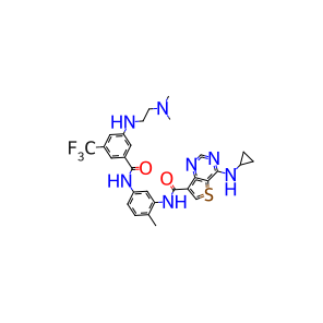 Cc1ccc(NC(=O)c2cc(NCCN(C)C)cc(C(F)(F)F)c2)cc1NC(=O)c1csc2c(NC3CC3)ncnc12